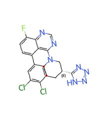 Fc1ccc(-c2ccc(Cl)c(Cl)c2)c2c(N3CCC[C@@H](c4nnn[nH]4)C3)ncnc12